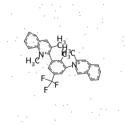 Cc1cc2ccccc2[n+](C)c1-c1cc(C(F)(F)F)cc(-[n+]2cc3ccccc3cc2C)c1C